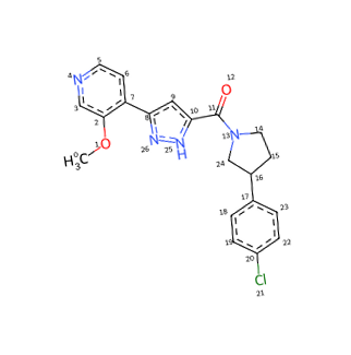 COc1cnccc1-c1cc(C(=O)N2CCC(c3ccc(Cl)cc3)C2)[nH]n1